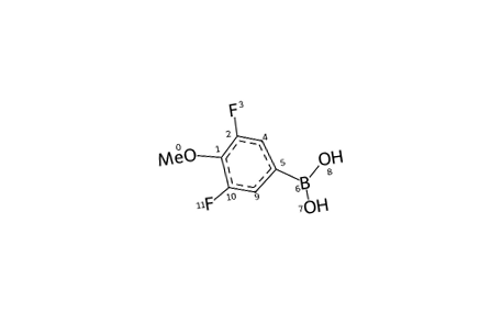 COc1c(F)cc(B(O)O)cc1F